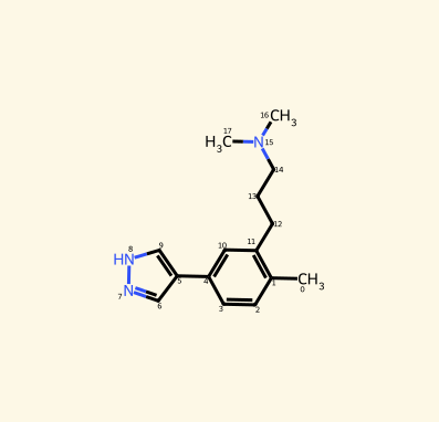 Cc1ccc(-c2cn[nH]c2)cc1CCCN(C)C